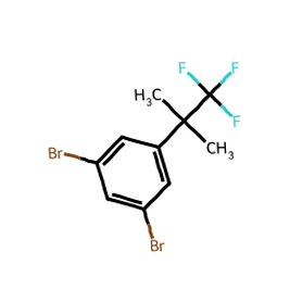 CC(C)(c1cc(Br)cc(Br)c1)C(F)(F)F